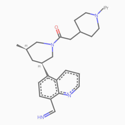 CC(C)N1CCC(CC(=O)N2C[C@H](C)C[C@H](c3ccc(C=N)c4ncccc34)C2)CC1